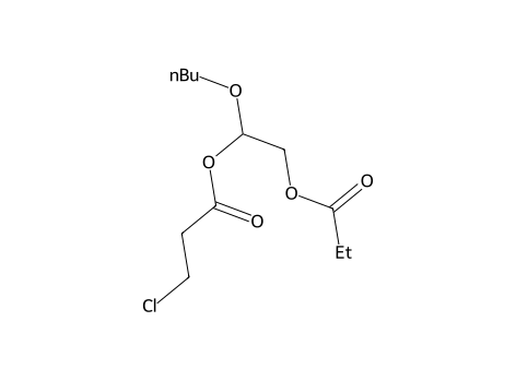 CCCCOC(COC(=O)CC)OC(=O)CCCl